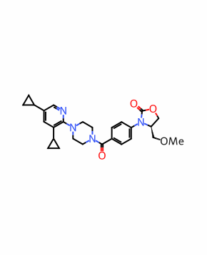 COC[C@@H]1COC(=O)N1c1ccc(C(=O)N2CCN(c3ncc(C4CC4)cc3C3CC3)CC2)cc1